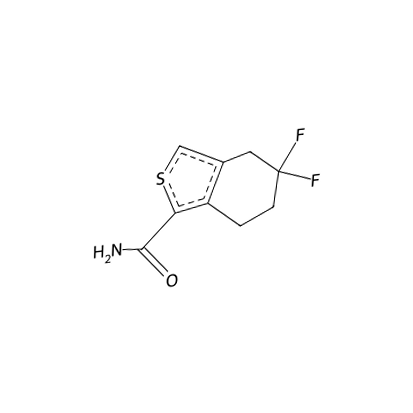 NC(=O)c1scc2c1CCC(F)(F)C2